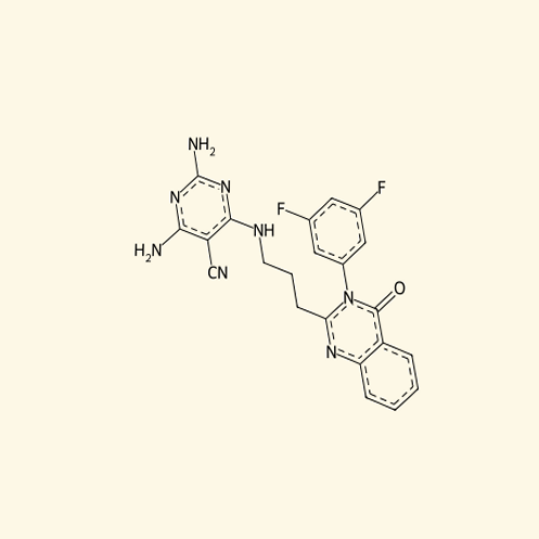 N#Cc1c(N)nc(N)nc1NCCCc1nc2ccccc2c(=O)n1-c1cc(F)cc(F)c1